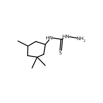 CC1CC(NC(=S)NN)CC(C)(C)C1